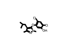 Cc1nn(C)c(Oc2cc(O)c(Cl)cc2Cl)c1CC(C)C